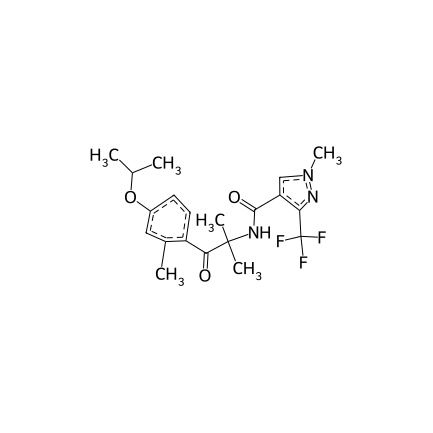 Cc1cc(OC(C)C)ccc1C(=O)C(C)(C)NC(=O)c1cn(C)nc1C(F)(F)F